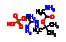 CC(=O)OC(C)(C)C.N.N=C(N)N.O=S(=O)(O)O